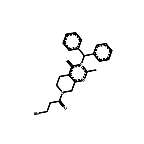 CCC(C)CCC(=O)N1CCc2c(nc(C)n(C(c3ccccc3)c3ccccc3)c2=O)C1